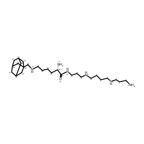 NCCCNCCCCNCCCNC(=O)[C@@H](N)CCCCNCC12CC3CC(CC(C3)C1)C2